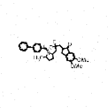 COc1cc2c(cc1OC)C(=O)C(CC(C)(F)CC1CCC(C)N1Cc1ccc(-c3ccccc3)cc1)C2